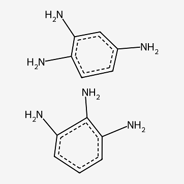 Nc1ccc(N)c(N)c1.Nc1cccc(N)c1N